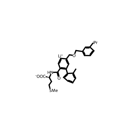 CSCC[C@H](NC(=O)c1ccc(COCc2cccc(C(C)C)c2)cc1-c1ccccc1C)C(=O)[O-].[Li+]